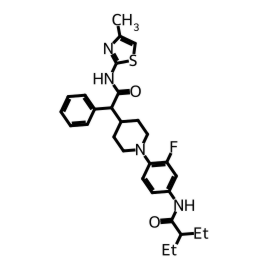 CCC(CC)C(=O)Nc1ccc(N2CCC(C(C(=O)Nc3nc(C)cs3)c3ccccc3)CC2)c(F)c1